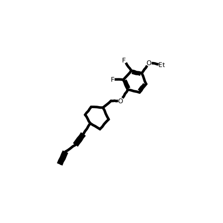 C#CC#CC1CCC(COc2ccc(OCC)c(F)c2F)CC1